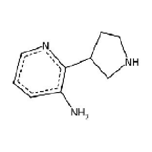 Nc1cccnc1C1CCNC1